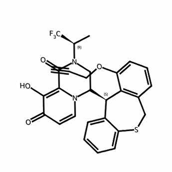 C#CCOc1cccc2c1[C@H](C1CN([C@H](C)C(F)(F)F)C(=O)c3c(O)c(=O)ccn31)c1ccccc1SC2